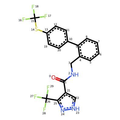 O=C(NCc1ccccc1-c1ccc(SC(F)(F)F)cc1)c1c[nH]nc1C(F)(F)F